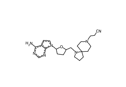 N#CCCN1CCC2(CCCN2CC2CCC(n3ccc4c(N)ncnc43)O2)CC1